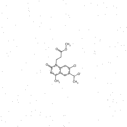 COC(=O)CCn1c(=O)nc(C)c2cc([S+](C)[O-])c(Cl)cc21